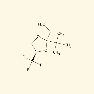 CC[C@@]1(C(C)(C)C)OC[C@H](C(F)(F)F)O1